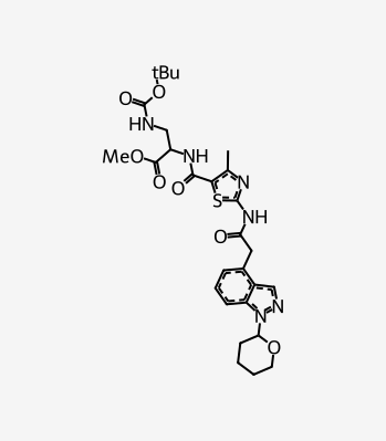 COC(=O)C(CNC(=O)OC(C)(C)C)NC(=O)c1sc(NC(=O)Cc2cccc3c2cnn3C2CCCCO2)nc1C